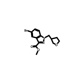 COC(=O)c1nn(CC2CCOC2)c2ccc(Br)cc12